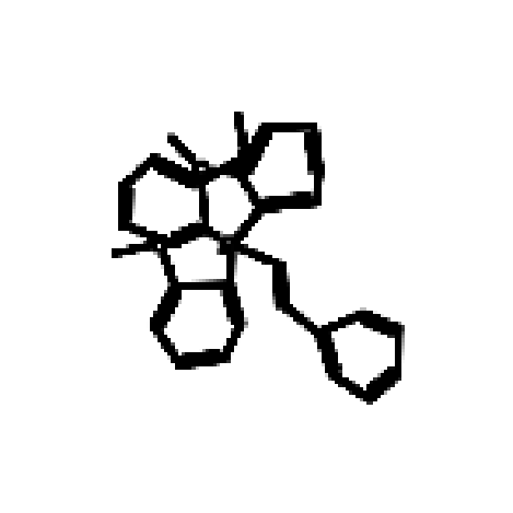 COc1ccccc1[Si](C=Cc1ccccc1)(c1ccccc1OC)c1ccccc1OC